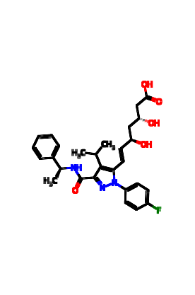 CC(C)c1c(C(=O)N[C@@H](C)c2ccccc2)nn(-c2ccc(F)cc2)c1C=C[C@H](O)C[C@@H](O)CC(=O)O